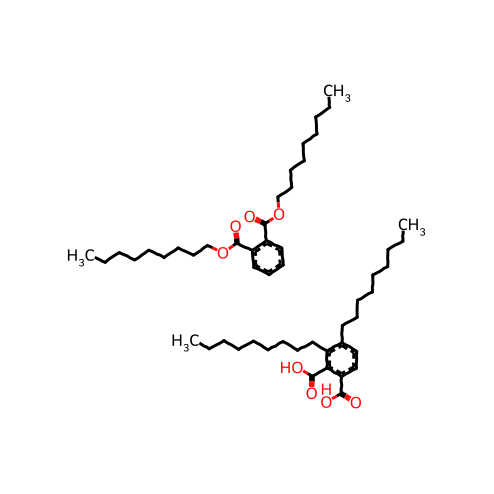 CCCCCCCCCOC(=O)c1ccccc1C(=O)OCCCCCCCCC.CCCCCCCCCc1ccc(C(=O)O)c(C(=O)O)c1CCCCCCCCC